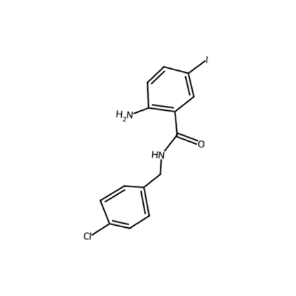 Nc1ccc(I)cc1C(=O)NCc1ccc(Cl)cc1